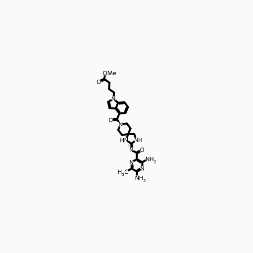 COC(=O)CCCn1ccc2c(C(=O)N3CCC4(CC3)CN/C(=N\C(=O)c3nc(C)c(N)nc3N)N4)cccc21